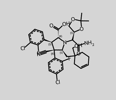 CC1(C)OC[C@H](C(C(N)=O)N2[C@@H](CC3(CO)CC=CCC3)[C@](C#N)(c3ccc(Cl)cc3F)[C@@H](c3cccc(Cl)c3F)[C@@H]2C(=O)O)O1